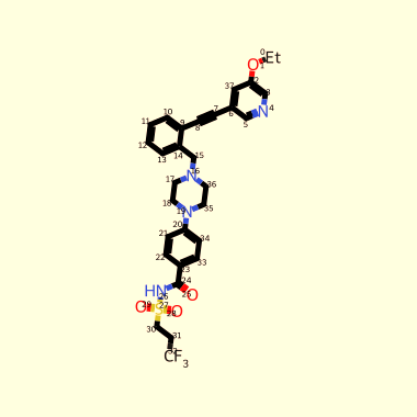 CCOc1cncc(C#Cc2ccccc2CN2CCN(c3ccc(C(=O)NS(=O)(=O)CCC(F)(F)F)cc3)CC2)c1